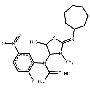 CC(=O)N(c1cc([N+](=O)[O-])ccc1F)C1C(C)SC(=NC2CCCCCC2)N1C.Cl